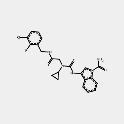 NC(=O)n1cc(NC(=O)N(CC(=O)NCc2cccc(Cl)c2F)C2CC2)c2ccccc21